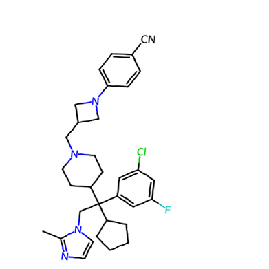 Cc1nccn1CC(c1cc(F)cc(Cl)c1)(C1CCCC1)C1CCN(CC2CN(c3ccc(C#N)cc3)C2)CC1